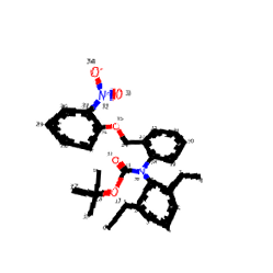 CCc1cccc(CC)c1N(C(=O)OC(C)(C)C)c1ccccc1COc1ccccc1[N+](=O)[O-]